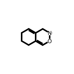 C1=C2CCCC=C2C[N]O1